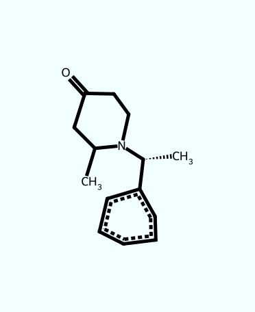 CC1CC(=O)CCN1[C@H](C)c1ccccc1